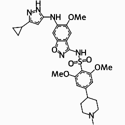 COc1cc2c(NS(=O)(=O)c3c(OC)cc(C4CCN(C)CC4)cc3OC)noc2cc1Nc1cc(C2CC2)n[nH]1